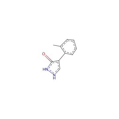 Cc1ccccc1-c1c[nH][nH]c1=O